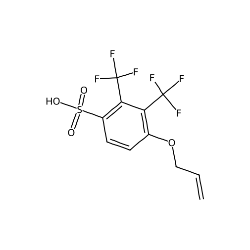 C=CCOc1ccc(S(=O)(=O)O)c(C(F)(F)F)c1C(F)(F)F